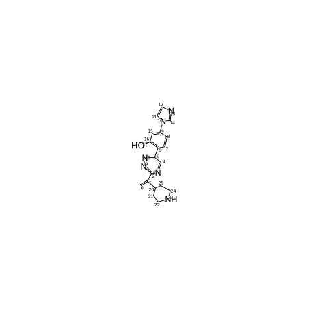 C=C(c1ncc(-c2ccc(-n3ccnc3)cc2O)nn1)C1CCNCC1